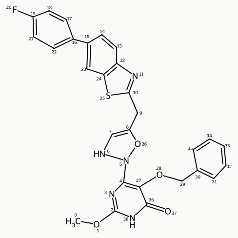 COc1nc(N2NC=C(Cc3nc4ccc(-c5ccc(F)cc5)cc4s3)O2)c(OCc2ccccc2)c(=O)[nH]1